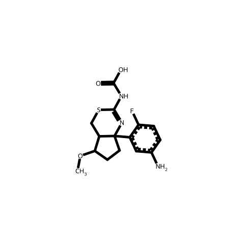 COC1CCC2(c3cc(N)ccc3F)N=C(NC(=O)O)SCC12